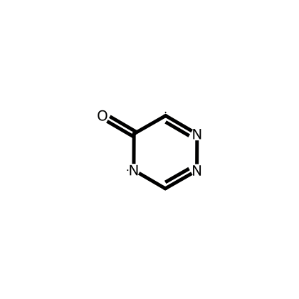 O=C1[C]=NN=C[N]1